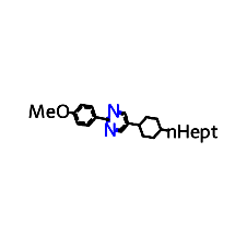 CCCCCCCC1CCC(c2cnc(-c3ccc(OC)cc3)nc2)CC1